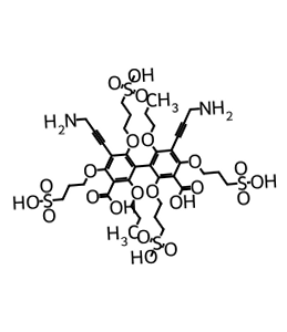 CCCOc1c(C#CCN)c(OCCCS(=O)(=O)O)c(C(=O)O)c(OCCCS(=O)(=O)O)c1-c1c(OCCCS(=O)(=O)O)c(C#CCN)c(OCCCS(=O)(=O)O)c(C(=O)O)c1OCCC